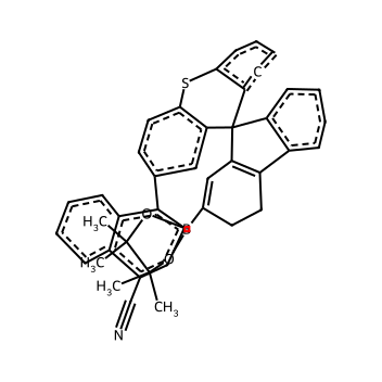 CC1(C)OB(C2=CC3=C(CC2)c2ccccc2C32c3ccccc3Sc3ccc(-c4ccc(C#N)c5ccccc45)cc32)OC1(C)C